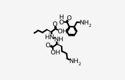 CCCC[C@H](NN[C@@H](CCCCN)C(=O)O)C(=O)O.NCc1ccccc1C(=O)O